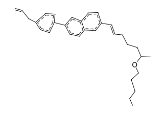 C=CCc1ccc(-c2ccc3cc(C=CCCCC(C)OCCCCC)ccc3c2)cc1